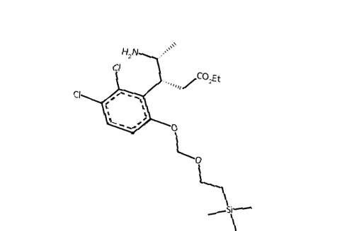 CCOC(=O)C[C@H](c1c(OCOCC[Si](C)(C)C)ccc(Cl)c1Cl)[C@@H](C)N